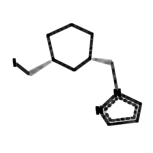 IC[C@@H]1CCC[C@H](Cn2cccn2)C1